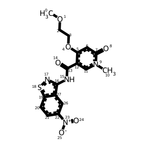 COCCOc1cc(=O)n(C)cc1C(=O)Nc1nsc2ccc([N+](=O)[O-])cc12